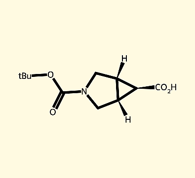 CC(C)(C)OC(=O)N1C[C@@H]2[C@H](C1)[C@H]2C(=O)O